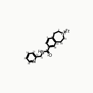 CCN1CCc2ccc(C(=O)NCc3ccccn3)cc2CC1